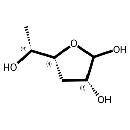 C[C@@H](O)[C@H]1C[C@@H](O)C(O)O1